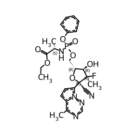 CCOC(=O)[C@H](C)NP(=O)(OC[C@H]1O[C@@](C#N)(c2ccc3c(C)ncnn23)[C@](C)(F)[C@@H]1O)Oc1ccccc1